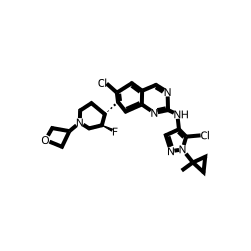 CC1(n2ncc(Nc3ncc4cc(Cl)c([C@H]5CCN(C6COC6)C[C@@H]5F)cc4n3)c2Cl)CC1